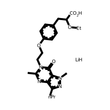 CCCc1nn(C)c2c(=O)n(CCOc3ccc(CC(OCC)C(=O)O)cc3)c(C)nc12.[LiH]